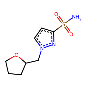 NS(=O)(=O)c1ccn(CC2CCCO2)n1